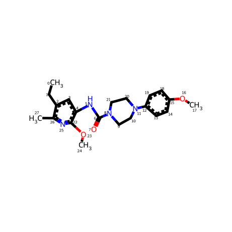 CCc1cc(NC(=O)N2CCN(c3ccc(OC)cc3)CC2)c(OC)nc1C